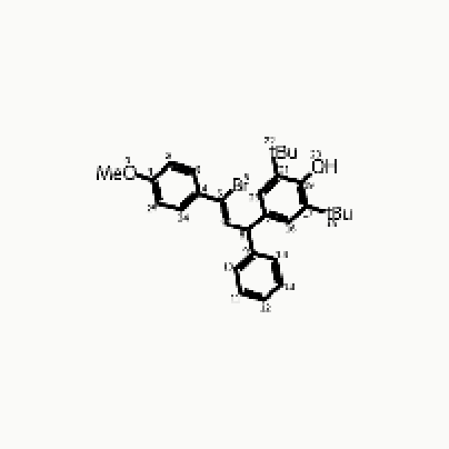 COc1ccc(C(Br)=CC(c2ccccc2)c2cc(C(C)(C)C)c(O)c(C(C)(C)C)c2)cc1